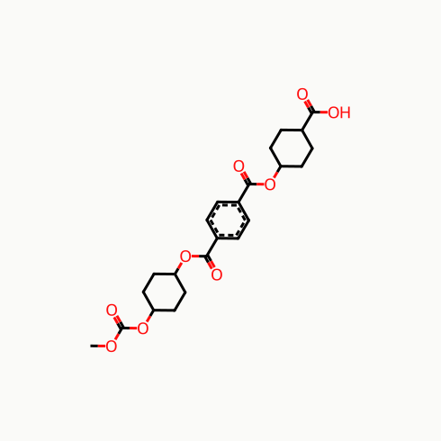 COC(=O)OC1CCC(OC(=O)c2ccc(C(=O)OC3CCC(C(=O)O)CC3)cc2)CC1